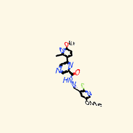 CCOc1ccc(-c2cncc(C(=O)N/N=C/c3cc(OC)cnc3F)n2)c(C)n1